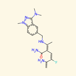 C=C(N)/C(F)=C\C(C(N)=O)=C(/C)NCc1ccc2c(c1)c(N(C)C)nn2C